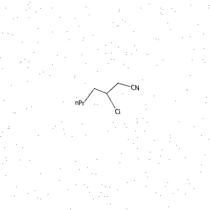 CCCCC(Cl)CC#N